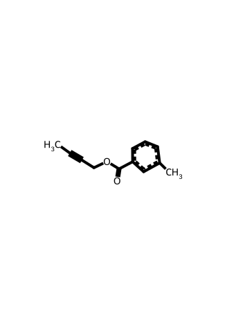 CC#CCOC(=O)c1cccc(C)c1